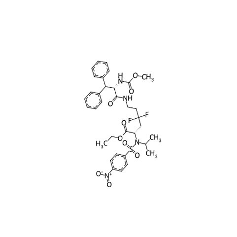 CCOC(=O)[C@H](CC(F)(F)CCNC(=O)[C@@H](NC(=O)OC)C(c1ccccc1)c1ccccc1)N(C(C)C)S(=O)(=O)c1ccc([N+](=O)[O-])cc1